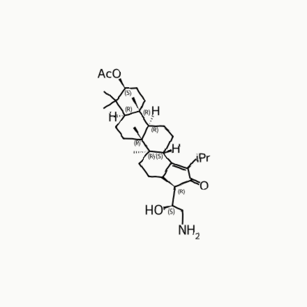 CC(=O)O[C@H]1CC[C@]2(C)[C@H]3CC[C@@H]4C5=C(C(C)C)C(=O)[C@@H]([C@H](O)CN)C5CC[C@@]4(C)[C@]3(C)CC[C@H]2C1(C)C